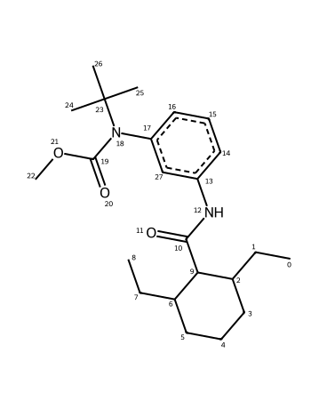 CCC1CCCC(CC)C1C(=O)Nc1cccc(N(C(=O)OC)C(C)(C)C)c1